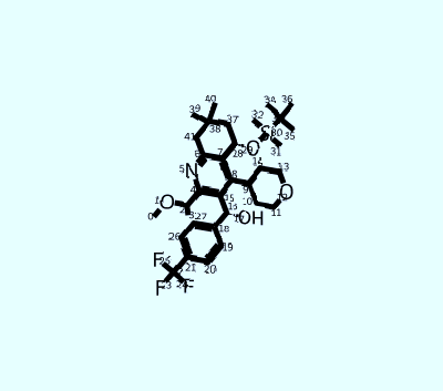 COC(C)c1nc2c(c(C3CCOCC3)c1[C@H](O)c1ccc(C(F)(F)F)cc1)[C@@H](O[Si](C)(C)C(C)(C)C)CC(C)(C)C2